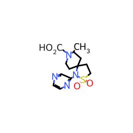 CC1CC2(CCN1C(=O)O)CCS(=O)(=O)N2c1cnccn1